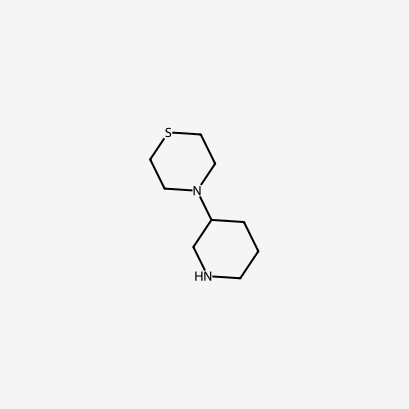 C1CNCC(N2CCSCC2)C1